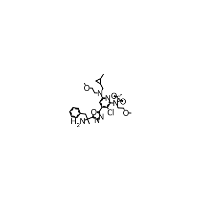 COCCN(CC1CC1C)c1cc(-c2nnc(C(C)(N)Cc3ccccc3)o2)c(Cl)c(N(CCOC)S(C)(=O)=O)n1